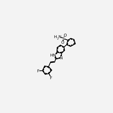 NS(=O)(=O)c1ccccc1-c1ccc2[nH]c(C=Cc3cc(F)cc(F)c3)nc2c1